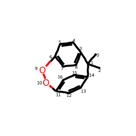 CC1(C)c2ccc(cc2)OOc2ccc1cc2